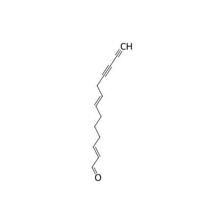 C#CC#CCC=CCCCC=CC=O